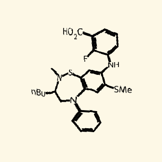 CCCCC1CN(c2ccccc2)c2cc(SC)c(Nc3cccc(C(=O)O)c3F)cc2SN1C